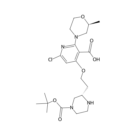 C[C@H]1CN(c2nc(Cl)cc(OCC[C@H]3CN(C(=O)OC(C)(C)C)CCN3)c2C(=O)O)CCO1